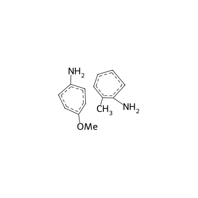 COc1ccc(N)cc1.Cc1ccccc1N